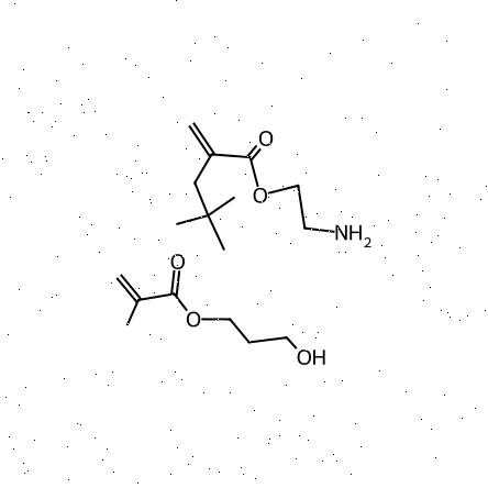 C=C(C)C(=O)OCCCO.C=C(CC(C)(C)C)C(=O)OCCN